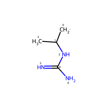 [CH2]C(C)NC(=N)N